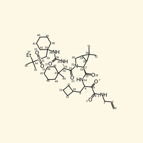 C=CCNC(=O)C(=O)C(CC1CCC1)NC(=O)[C@@H]1C2C(CN1C(=O)[C@@H](NC(=O)NC1(CS(=O)(=O)C(C)(C)CC)CCCCC1)C1(C)CCCCC1)C2(C)C